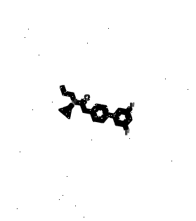 CCCN(C(=O)Cc1ccc(-c2cc(F)cc(F)c2)cc1)C1CC1